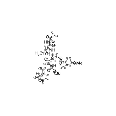 C=C[C@@H]1C[C@]1(NC(=O)[C@@H]1CC(Oc2nccc3cc(OC)ccc23)CN1C(=O)[C@H](CCC(=O)N1CC[C@H]2C[C@@H]1C(=O)O2)NC(=O)OC(C)(C)C)C(=O)NS(=O)(=O)C1CC1